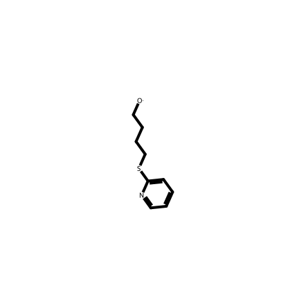 [O]CCCCSc1ccccn1